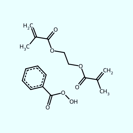 C=C(C)C(=O)OCCOC(=O)C(=C)C.O=C(OO)c1ccccc1